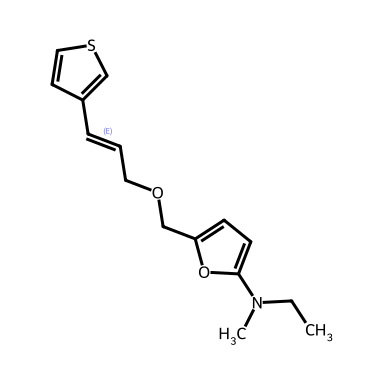 CCN(C)c1ccc(COC/C=C/c2ccsc2)o1